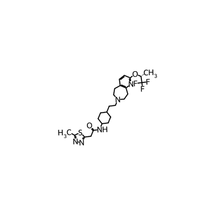 Cc1nnc(CC(=O)NC2CCC(CCN3CCc4ccc(O[C@H](C)C(F)(F)F)nc4CC3)CC2)s1